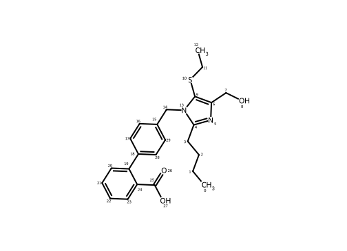 CCCCc1nc(CO)c(SCC)n1Cc1ccc(-c2ccccc2C(=O)O)cc1